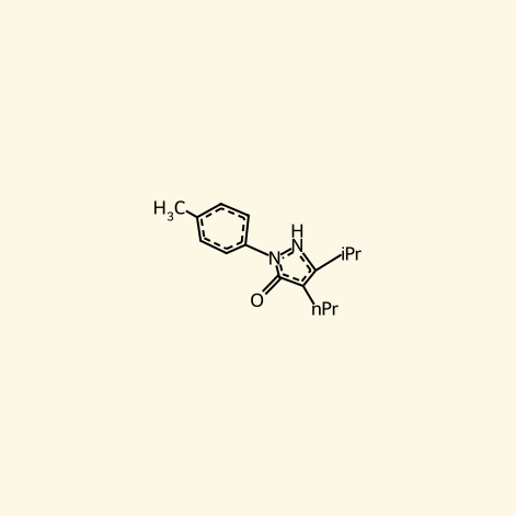 CCCc1c(C(C)C)[nH]n(-c2ccc(C)cc2)c1=O